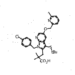 Cc1cccc(COc2cnc3c(c2)c(SC(C)(C)C)c(CC(C)(C)C(=O)O)n3Cc2ccc(Cl)cc2)n1